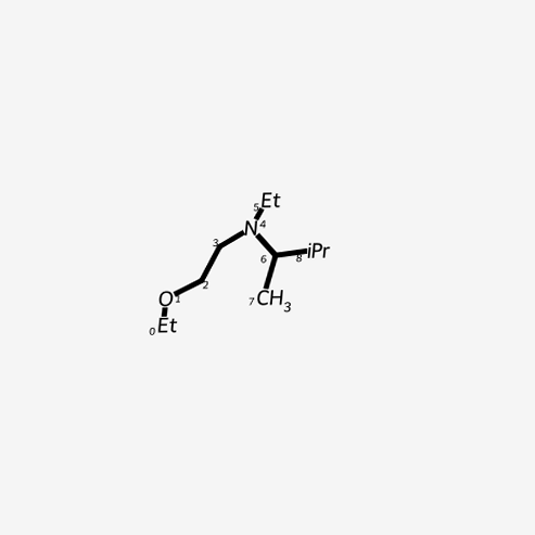 CCOCCN(CC)C(C)C(C)C